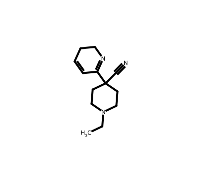 CCN1CCC(C#N)(C2=NCCC=C2)CC1